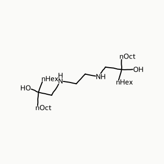 CCCCCCCCC(O)(CCCCCC)CNCCNCC(O)(CCCCCC)CCCCCCCC